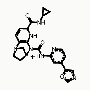 O=C(NC1CC1)C1C=CC2=C(N1)N(C(=O)Nc1cc(-c3cnco3)ccn1)[C@H]1CCN2C1